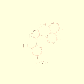 COc1ccc(-n2nnc(S)c2-c2cccc3ccccc23)c(O)c1